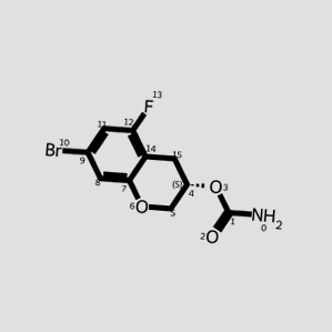 NC(=O)O[C@@H]1COc2cc(Br)cc(F)c2C1